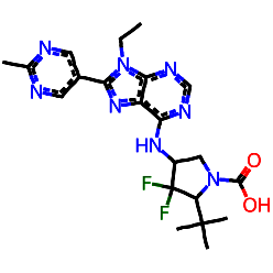 CCn1c(-c2cnc(C)nc2)nc2c(NC3CN(C(=O)O)C(C(C)(C)C)C3(F)F)ncnc21